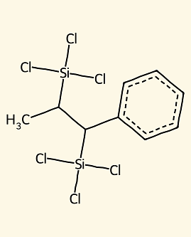 CC(C(c1ccccc1)[Si](Cl)(Cl)Cl)[Si](Cl)(Cl)Cl